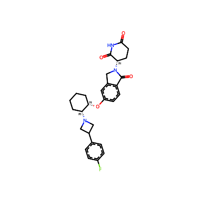 O=C1CC[C@H](N2Cc3cc(O[C@H]4CCCC[C@H]4N4CC(c5ccc(F)cc5)C4)ccc3C2=O)C(=O)N1